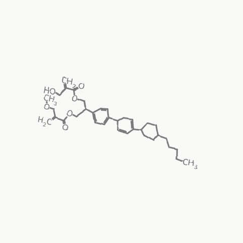 C=C(CO)C(=O)OCC(COC(=O)C(=C)COC)c1ccc(C2C=CC(C3CCC(CCCCC)CC3)=CC2)cc1